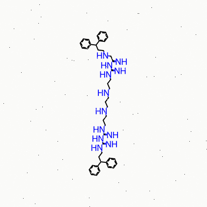 N=C(CNCCC(c1ccccc1)c1ccccc1)NC(=N)NCCCNCCCNCCCNC(=N)NC(=N)NCCC(c1ccccc1)c1ccccc1